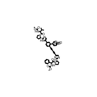 COC(=O)NC(C(=O)N1CCC[C@H]1c1ncc(-c2ccc(C#CC#Cc3cnc([C@@H]4CCCN4C(=O)[C@@H](NC(=O)OC)c4ccccc4)[nH]3)c(-c3cccnc3)c2)[nH]1)C(C)C.Cl.Cl.Cl